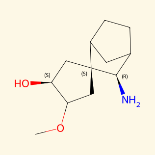 COC1C[C@@]2(C[C@@H]1O)C1CCC(C1)[C@H]2N